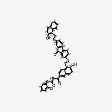 O=C(NC(=O)c1ccc2c(N=Nc3ccc4c(c3)C(=O)c3cc(N=Nc5c(O)ccc6ccccc56)ccc3-4)c(O)ccc2c1)Nc1ccccc1Cl